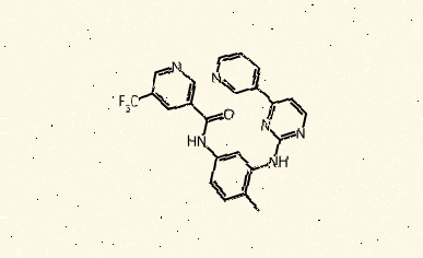 Cc1ccc(NC(=O)c2cncc(C(F)(F)F)c2)cc1Nc1nccc(-c2cccnc2)n1